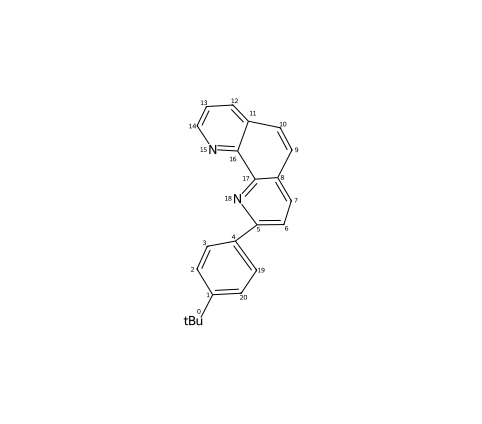 CC(C)(C)c1ccc(-c2ccc3ccc4cccnc4c3n2)cc1